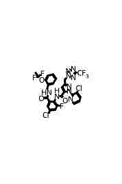 CC(F)(F)Oc1ccccc1CNC(=O)c1cc(Cl)cc(F)c1NC(=O)c1cc(Cn2nnc(C(F)(F)F)n2)nn1-c1ncccc1Cl